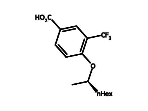 CCCCCC[C@@H](C)Oc1ccc(C(=O)O)cc1C(F)(F)F